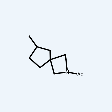 CC(=O)N1CC2(CCC(C)C2)C1